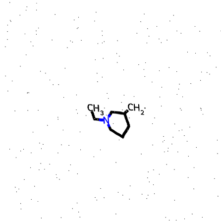 [CH2]C1CCCN(CC)C1